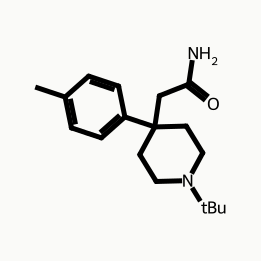 Cc1ccc(C2(CC(N)=O)CCN(C(C)(C)C)CC2)cc1